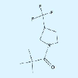 CC(C)(C)C(=O)N1CCC(C(F)(F)F)C1